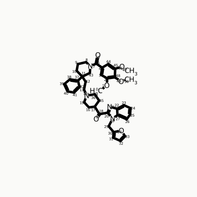 COc1cc(C(=O)N2CCCC(CCN3CCC(C(=O)c4nc5ccccc5n4Cc4ccco4)CC3)(c3ccccc3)C2)cc(OC)c1OC